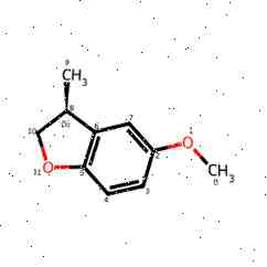 COc1ccc2c(c1)[C@H](C)CO2